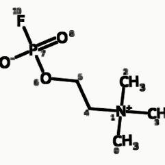 C[N+](C)(C)CCOP(=O)([O-])F